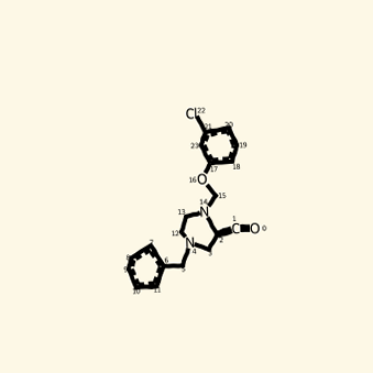 O=C=C1CN(Cc2ccccc2)CCN1COc1cccc(Cl)c1